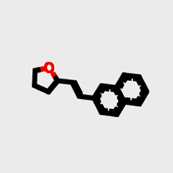 C(=CC1CCCO1)c1ccc2ccccc2c1